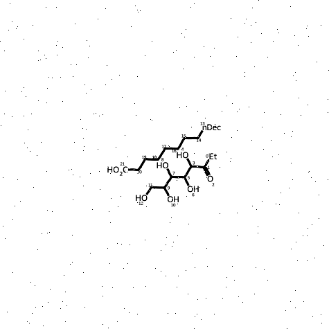 CCC(=O)C(O)C(O)C(O)C(O)CO.CCCCCCCCCCCCCCCCCC(=O)O